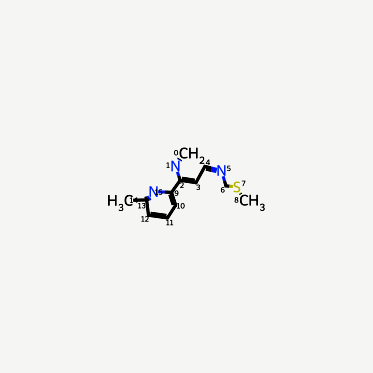 C=N/C(=C\C=N/CSC)c1cccc(C)n1